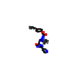 CC(C)c1ccc(OCC(=O)N(Cc2nc(-c3cccnc3)no2)C(C)C)cc1